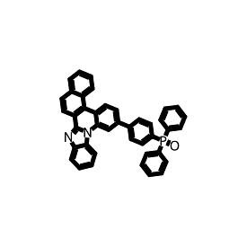 O=P(c1ccccc1)(c1ccccc1)c1ccc(-c2ccc3c4c5ccccc5ccc4c4nc5ccccc5n4c3c2)cc1